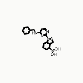 OB(O)c1cccc2c1cnn2-c1nccc(NCc2ccccc2)n1